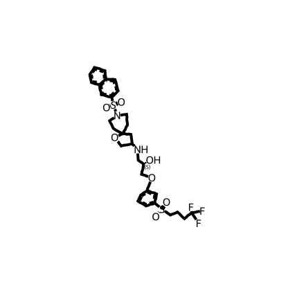 O=S(=O)(CCCC(F)(F)F)c1cccc(OC[C@@H](O)CNC2COC3(CCN(S(=O)(=O)c4ccc5ccccc5c4)CC3)C2)c1